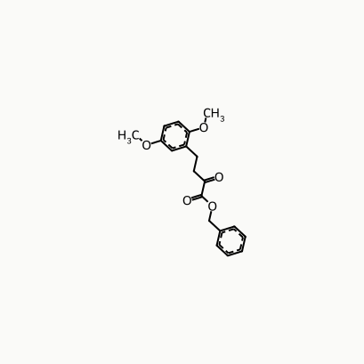 COc1ccc(OC)c(CCC(=O)C(=O)OCc2ccccc2)c1